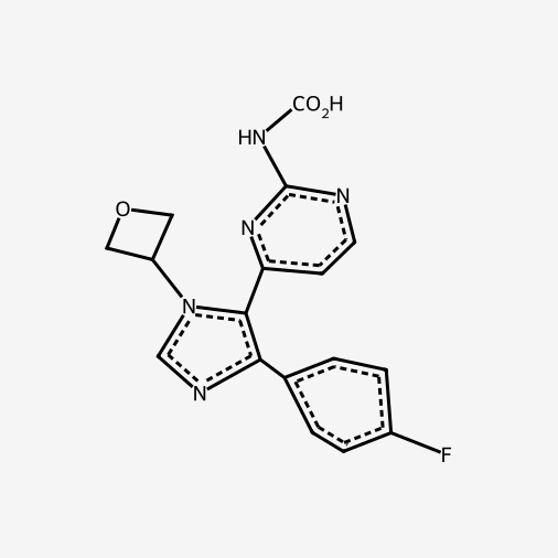 O=C(O)Nc1nccc(-c2c(-c3ccc(F)cc3)ncn2C2COC2)n1